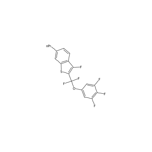 CCCc1ccc2c(F)c(C(F)(F)Oc3cc(F)c(F)c(F)c3)sc2c1